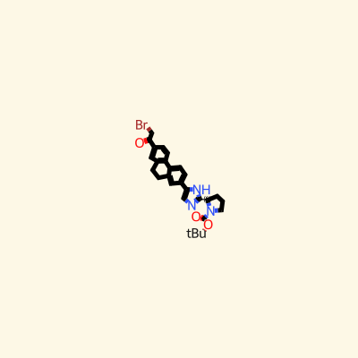 CC(C)(C)OC(=O)N1CCC[C@H]1c1ncc(-c2ccc3c(c2)CCc2cc(C(=O)CBr)ccc2-3)[nH]1